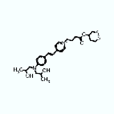 CC(O)CN(CC(C)O)c1ccc(/C=C/c2cc[n+](CCCC(=O)OC3CCSSC3)cc2)cc1